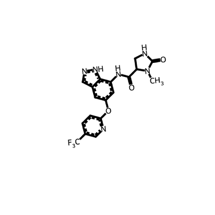 CN1C(=O)NCC1C(=O)Nc1cc(Oc2ccc(C(F)(F)F)cn2)cc2cn[nH]c12